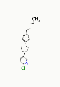 CCCCCc1ccc([C@H]2CC[C@H](c3ccc(Cl)nc3)CC2)cc1